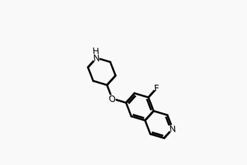 Fc1cc(OC2CCNCC2)cc2ccncc12